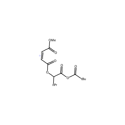 CCCC(OC(=O)/C=C\C(=O)OC)C(=O)OC(=O)C(C)(C)C